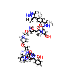 Cc1n[nH]c(C)c1-c1ccc([C@H](C)NC(=O)[C@@H]2C[C@@H](O)CN2C(=O)[C@@H](c2cc(OCCN3CCC(OC4CC(Oc5cc(N6C7CC[C@@H]6CN(c6cc(-c8ccccc8O)nnc6N)C7)ccn5)C4)CC3)no2)C(C)C)cc1